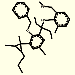 CCCC1C(C)C1(C)c1cc(C)cc(C(CC)(CC)Pc2c(C)cccc2CPC)c1OCc1ccccc1